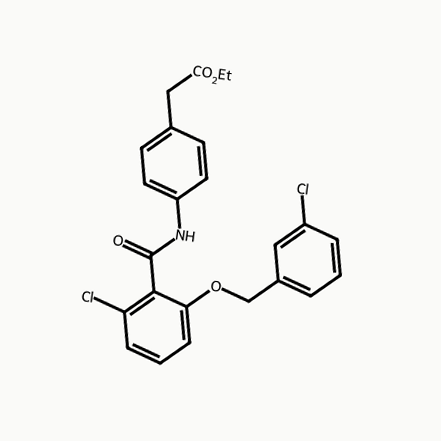 CCOC(=O)Cc1ccc(NC(=O)c2c(Cl)cccc2OCc2cccc(Cl)c2)cc1